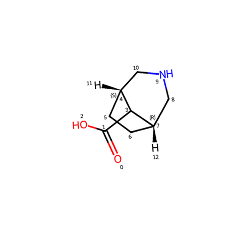 O=C(O)C1[C@@H]2CC[C@H]1CNC2